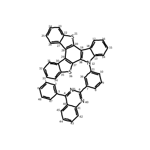 c1ccc(-c2nc(-c3cccc(-n4c5ccccc5c5c6sc7ccccc7c6c6c7ccccc7sc6c54)c3)nc3ccccc23)cc1